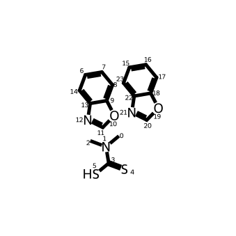 CN(C)C(=S)S.c1ccc2ocnc2c1.c1ccc2ocnc2c1